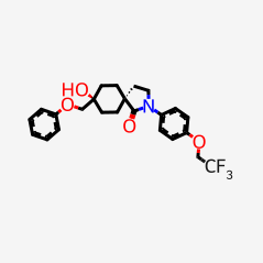 O=C1N(c2ccc(OCC(F)(F)F)cc2)CC[C@]12CC[C@@](O)(COc1ccccc1)CC2